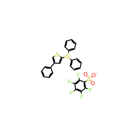 O=S(=O)([O-])c1c(F)c(F)c(F)c(F)c1F.c1ccc(-c2csc([S+](c3ccccc3)c3ccccc3)c2)cc1